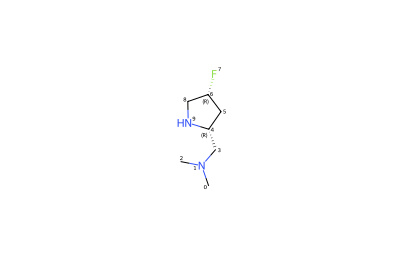 CN(C)C[C@H]1C[C@@H](F)CN1